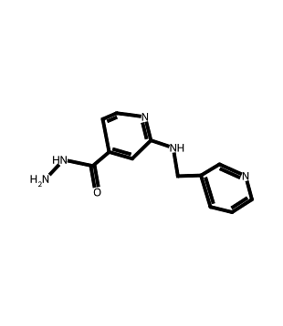 NNC(=O)c1ccnc(NCc2cccnc2)c1